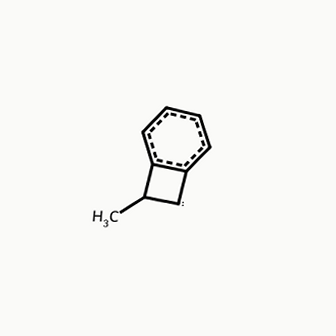 CC1[C]c2ccccc21